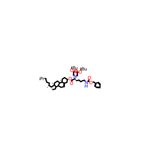 CC(C)CCC[C@@H](C)[C@H]1CCC2C3CC=C4C[C@@H](OC(=O)[C@H](CCCCNC(=O)OCc5ccccc5)N(CC(=O)OC(C)(C)C)CC(=O)OC(C)(C)C)CC[C@]4(C)C3CC[C@@]21C